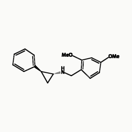 COc1ccc(CN[C@@H]2C[C@H]2c2ccccc2)c(OC)c1